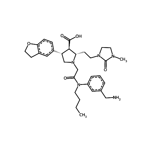 CCCCN(C(=O)CN1C[C@H](c2ccc3c(c2)CCO3)[C@@H](C(=O)O)[C@@H]1CCN1CCN(C)C1=O)c1cccc(CN)c1